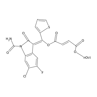 CCCCCCCCOC(=O)C=CC(=O)OC(=C1C(=O)N(C(N)=O)c2cc(Cl)c(F)cc21)c1cccs1